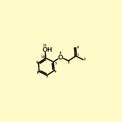 C=C(C)COc1ccccc1O